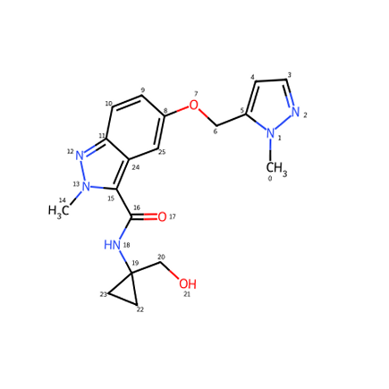 Cn1nccc1COc1ccc2nn(C)c(C(=O)NC3(CO)CC3)c2c1